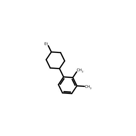 CCC1CCC(c2cccc(C)c2C)CC1